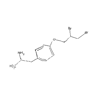 NC(Cc1ccc(OCC(Br)CBr)cc1)C(=O)O